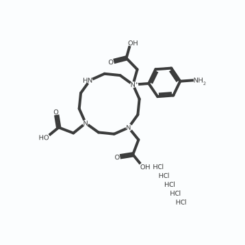 Cl.Cl.Cl.Cl.Cl.Nc1ccc([N+]2(CC(=O)O)CCNCCN(CC(=O)O)CCN(CC(=O)O)CC2)cc1